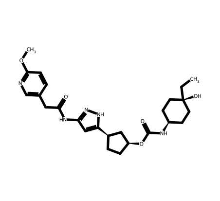 CC[C@]1(O)CC[C@@H](NC(=O)O[C@H]2CC[C@@H](c3cc(NC(=O)Cc4ccc(OC)nc4)n[nH]3)C2)CC1